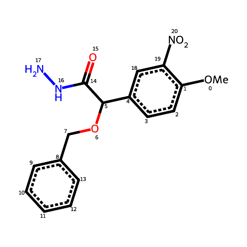 COc1ccc(C(OCc2ccccc2)C(=O)NN)cc1[N+](=O)[O-]